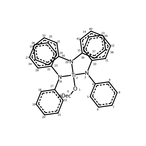 CCCCCCCCCC[O][Ti]([N](c1ccccc1)c1ccccc1)([N](c1ccccc1)c1ccccc1)[N](c1ccccc1)c1ccccc1